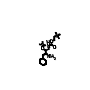 C[Si](C)(C)CCOC(=O)NC[C@H](O[Si](C)(C)C)[C@@H](N)CC1CCCCC1